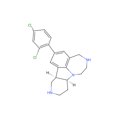 Clc1ccc(-c2cc3c4c(c2)[C@@H]2CNCC[C@@H]2N4CCNC3)c(Cl)c1